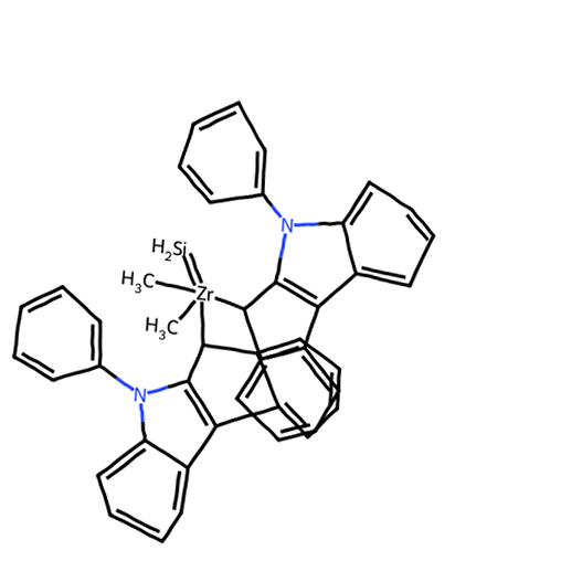 [CH3][Zr]([CH3])(=[SiH2])([CH]1c2ccccc2-c2c1n(-c1ccccc1)c1ccccc21)[CH]1c2ccccc2-c2c1n(-c1ccccc1)c1ccccc21